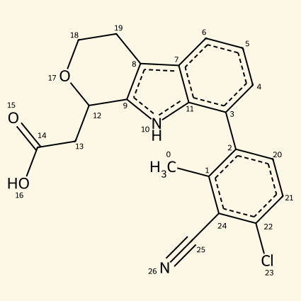 Cc1c(-c2cccc3c4c([nH]c23)C(CC(=O)O)OCC4)ccc(Cl)c1C#N